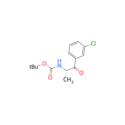 C[C@H](NC(=O)OC(C)(C)C)C(=O)c1cccc(Cl)c1